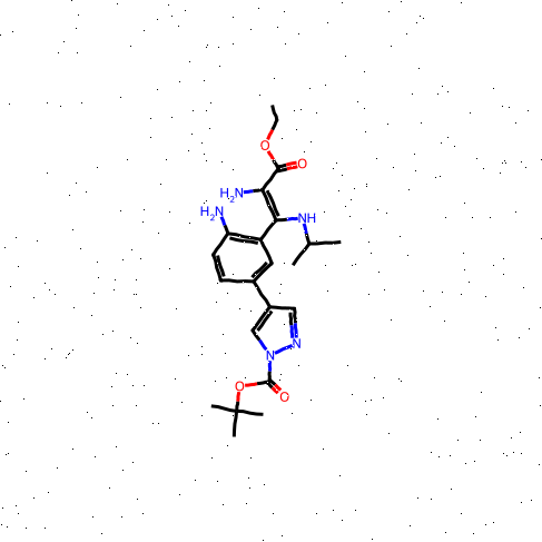 CCOC(=O)/C(N)=C(\NC(C)C)c1cc(-c2cnn(C(=O)OC(C)(C)C)c2)ccc1N